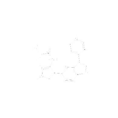 Cn1cc(-c2ccc3scc(-c4ccncc4)c3n2)c(NC(=O)OC(C)(C)C)n1